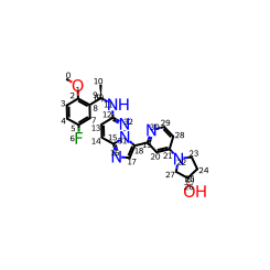 COc1ccc(F)cc1[C@@H](C)Nc1ccc2ncc(-c3cc(N4CC[C@H](O)C4)ccn3)n2n1